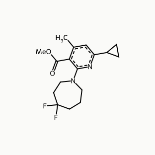 COC(=O)c1c(C)cc(C2CC2)nc1N1CCCC(F)(F)CC1